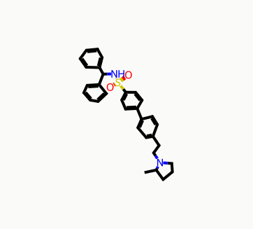 CC1CCCN1CCc1ccc(-c2ccc(S(=O)(=O)NC(c3ccccc3)c3ccccc3)cc2)cc1